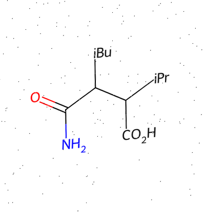 CCC(C)C(C(N)=O)C(C(=O)O)C(C)C